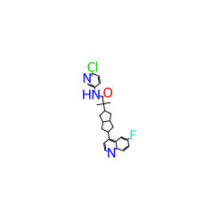 CC(C)(C(=O)Nc1ccc(Cl)nc1)C1CC2CC(c3ccnc4ccc(F)cc34)CC2C1